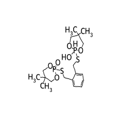 CC1(C)COP(=O)(SCc2ccccc2CS[PH]2(O)OCC(C)(C)CO2)OC1